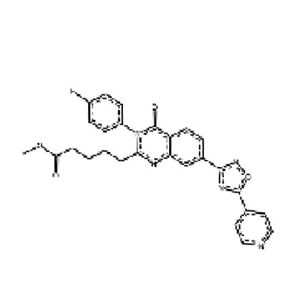 COC(=O)CCCCc1nc2cc(-c3noc(-c4ccncc4)n3)ccc2c(=O)n1-c1ccc(F)cc1